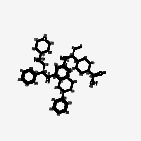 CC[C@@H](Nc1nc2c(c(N[C@@H](CNC3CCOCC3)c3ccccc3)n1)C[C@H](c1ccccc1)CC2)C1CCC(C(=O)O)CC1